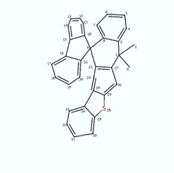 CC1(C)c2ccccc2C2(c3ccccc3-c3ccccc32)c2cc3c(cc21)sc1ccccc13